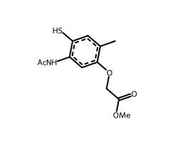 COC(=O)COc1cc(NC(C)=O)c(S)cc1C